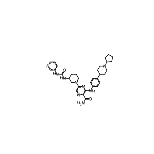 NC(=O)c1ncc(N2CCCC(NC(=O)Nc3cccnc3)C2)nc1Nc1ccc(C2CCN(C3CCCC3)CC2)cc1